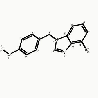 COc1ccc(Cn2cnc3c(Br)cccc32)cc1